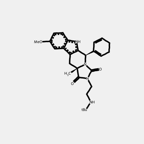 COc1ccc2[nH]c3c(c2c1)C[C@@]1(C)C(=O)N(CCNC(C)(C)C)C(=O)N1[C@@H]3C1=CCCC=C1